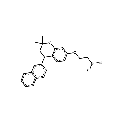 CCN(CC)CCOc1ccc2c(c1)OC(C)(C)CC2c1ccc2ccccc2c1